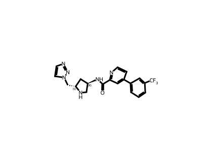 O=C(N[C@H]1CN[C@H](Cn2ccnn2)C1)c1cc(-c2cccc(C(F)(F)F)c2)ccn1